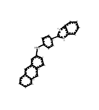 c1ccc2cc3cc(Nc4ccc(-c5nc6ccccc6s5)cc4)ccc3cc2c1